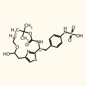 CCOC(O)Cc1csc([C@H](Cc2ccc(NS(=O)(=O)O)cc2)NC(=O)OC(C)(C)C)n1